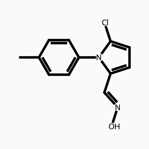 Cc1ccc(-n2c(Cl)ccc2C=NO)cc1